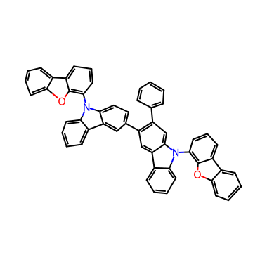 c1ccc(-c2cc3c(cc2-c2ccc4c(c2)c2ccccc2n4-c2cccc4c2oc2ccccc24)c2ccccc2n3-c2cccc3c2oc2ccccc23)cc1